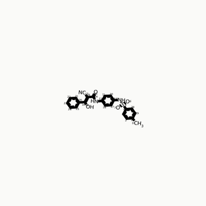 Cc1ccc(S(=O)(=O)Nc2ccc(NC(=O)C(C#N)=C(O)c3ccccc3)cc2)cc1